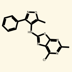 Cc1nc(Cl)c2nc(Nc3c(-c4ccccc4)noc3C)sc2n1